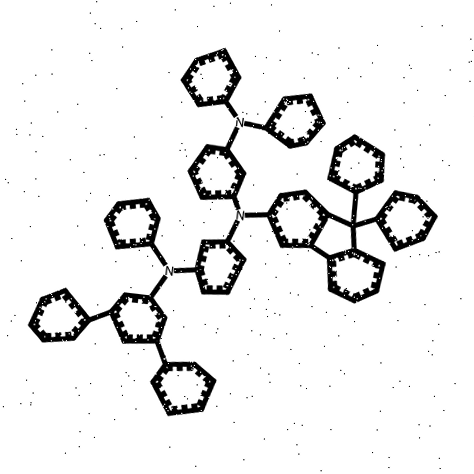 c1ccc(-c2cc(-c3ccccc3)cc(N(c3ccccc3)c3cccc(N(c4cccc(N(c5ccccc5)c5ccccc5)c4)c4ccc5c(c4)-c4ccccc4C5(c4ccccc4)c4ccccc4)c3)c2)cc1